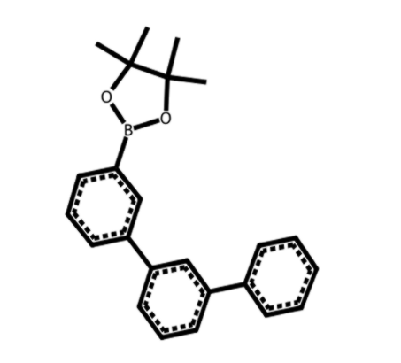 CC1(C)OB(c2cccc(-c3cccc(-c4ccccc4)c3)c2)OC1(C)C